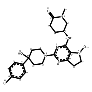 CN1C[C@@H](Nc2nc(N3CCC(O)(c4ccc(Cl)cc4)CC3)nc3c2[S+]([O-])CC3)CCC1=O